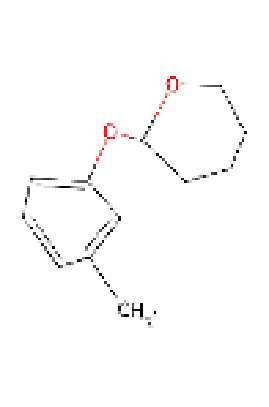 [CH2]c1cccc(OC2CCCCO2)c1